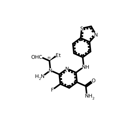 CC[C@H](C=O)N(N)c1nc(Nc2ccc3scnc3c2)c(C(N)=O)cc1F